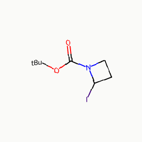 CC(C)(C)OC(=O)N1CCC1I